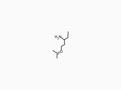 CCC(N)CCO[Si](C)C